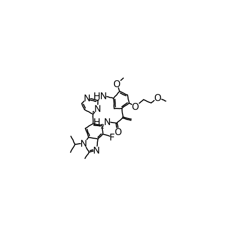 C=C(C(N)=O)c1cc(Nc2nccc(-c3cc(F)c4nc(C)n(C(C)C)c4c3)n2)c(OC)cc1OCCOC